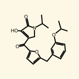 CC(C)Oc1cccc(Cc2ccc(C(=O)C3=C(O)C(=O)N(C(C)C)C3)o2)c1